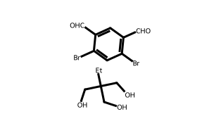 CCC(CO)(CO)CO.O=Cc1cc(C=O)c(Br)cc1Br